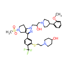 COc1ccccc1C1CCN(CC(O)Cn2nc(-c3ccc(C(F)(F)F)c(SCCN4CCC(O)CC4)c3)c3c2CCN(S(C)(=O)=O)C3)CC1